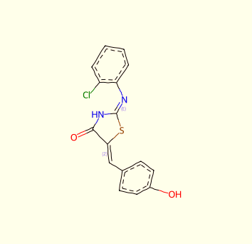 O=C1N/C(=N\c2ccccc2Cl)S/C1=C\c1ccc(O)cc1